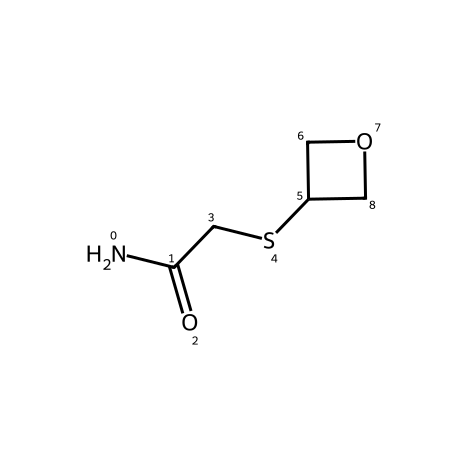 NC(=O)CSC1COC1